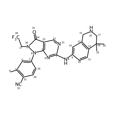 Cc1cc(-n2c3nc(Nc4ccc5c(c4)CNCC5(C)C)ncc3c(=O)n2CC(F)(F)F)ccc1C#N